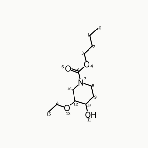 CCCCOC(=O)N1CCC(O)C(OCC)C1